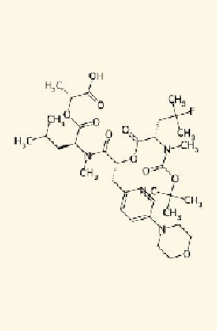 CC(C)C[C@@H](C(=O)O[C@H](C)C(=O)O)N(C)C(=O)[C@@H](Cc1ccc(N2CCOCC2)cc1)OC(=O)[C@H](CC(C)(C)F)N(C)C(=O)OC(C)(C)C